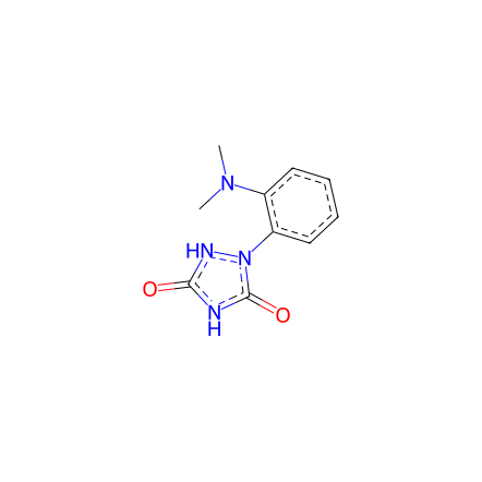 CN(C)c1ccccc1-n1[nH]c(=O)[nH]c1=O